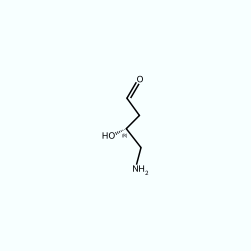 NC[C@H](O)CC=O